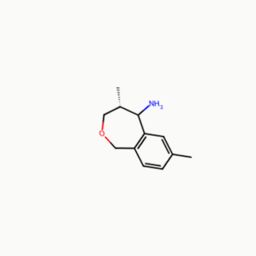 Cc1ccc2c(c1)C(N)[C@@H](C)COC2